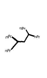 CCCC(CCC)CC(CCC)CCC